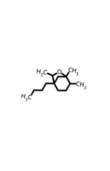 CCCCC12CCC(C)C(C)(C1)OC2C